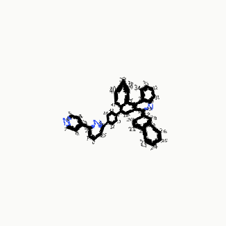 c1cc(-c2ccncc2)nc(-c2ccc(-c3cc4c(-c5ccc6ccccc6c5)nc5ccccc5c4c4ccccc34)cc2)c1